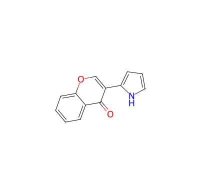 O=c1c(-c2ccc[nH]2)coc2ccccc12